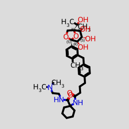 Cc1ccc([C@]23OC[C@](C(C)(C)O)(O2)[C@@H](O)[C@H](O)[C@H]3O)cc1Cc1ccc(CCCC(=O)NC2(C(=O)NCCN(C)C)CCCCC2)cc1